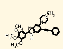 COc1cc(-c2nc3cc(N4CCN(C)CC4)c(C#Cc4ccccc4)cc3[nH]2)cc(OC)c1OC